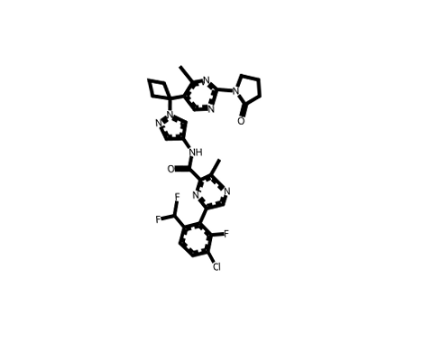 Cc1nc(N2CCCC2=O)ncc1C1(n2cc(NC(=O)c3nc(-c4c(C(F)F)ccc(Cl)c4F)cnc3C)cn2)CCC1